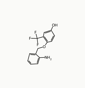 Nc1ccccc1COc1ccc(O)cc1C(F)(F)F